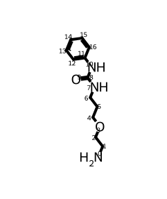 NCCOCCCNC(=O)Nc1c[c]ccc1